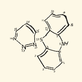 c1ccc2c(c1)Nc1ccccc1S2.c1cnnnc1